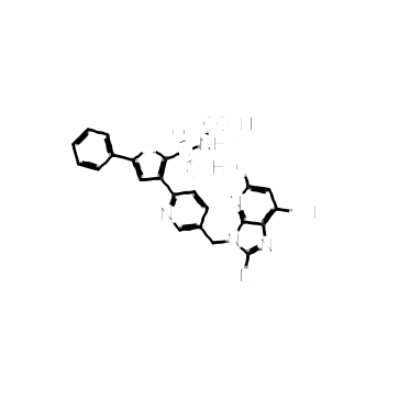 CCc1nc2c(C)cc(C)nc2n1Cc1ccc(-c2cc(-c3ccccc3)sc2S(=O)(=O)NC(=O)O)nc1